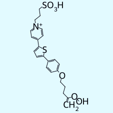 C=C(CCCOc1ccc(-c2ccc(-c3cc[n+](CCCS(=O)(=O)O)cc3)s2)cc1)OO